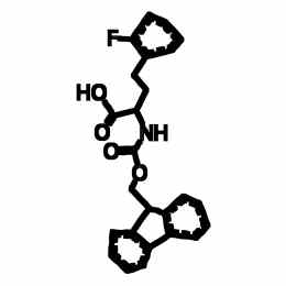 O=C(NC(CCc1ccccc1F)C(=O)O)OCC1c2ccccc2-c2ccccc21